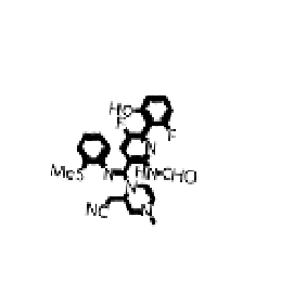 CSc1ccccc1/N=C(\c1cc(F)c(-c2c(O)cccc2F)nc1NC=O)N1CCN(C)CC1CC#N